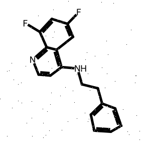 Fc1cc(F)c2nccc(NCCc3ccccc3)c2c1